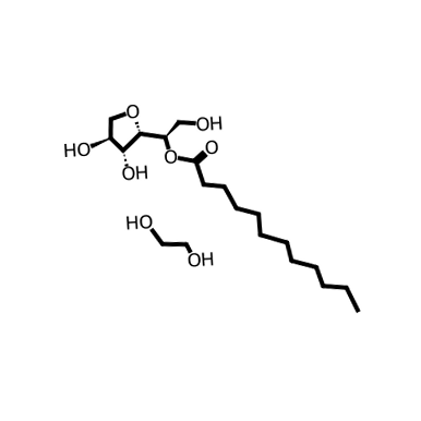 CCCCCCCCCCCC(=O)O[C@H](CO)[C@H]1OC[C@H](O)[C@H]1O.OCCO